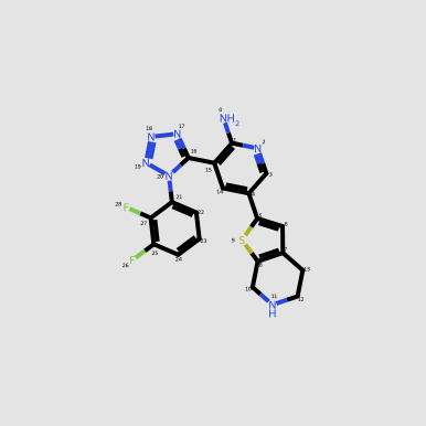 Nc1ncc(-c2cc3c(s2)CNCC3)cc1-c1nnnn1-c1cccc(F)c1F